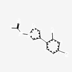 CC(=O)On1cc(-c2ccc(Br)cc2F)cn1